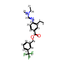 CCc1cc(C(=O)OCc2cccc(C(F)(F)F)c2)ccc1/N=C/N(C)CC